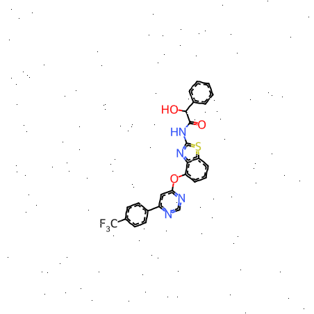 O=C(Nc1nc2c(Oc3cc(-c4ccc(C(F)(F)F)cc4)ncn3)cccc2s1)C(O)c1ccccc1